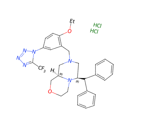 CCOc1ccc(-n2nnnc2C(F)(F)F)cc1CN1C[C@@H]2COCCN2[C@H](C(c2ccccc2)c2ccccc2)C1.Cl.Cl